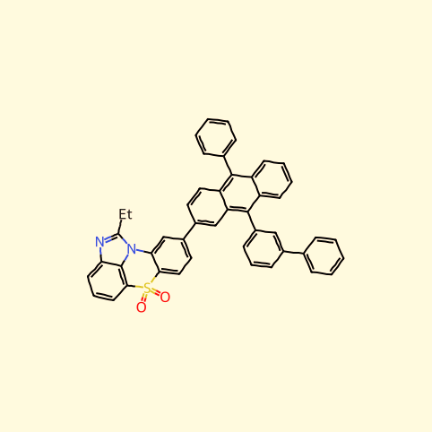 CCc1nc2cccc3c2n1-c1cc(-c2ccc4c(-c5ccccc5)c5ccccc5c(-c5cccc(-c6ccccc6)c5)c4c2)ccc1S3(=O)=O